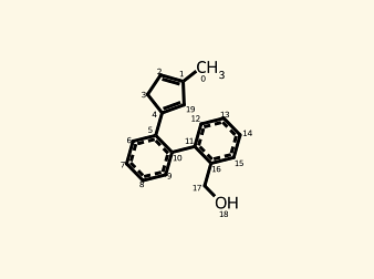 CC1=CCC(c2ccccc2-c2ccccc2CO)=C1